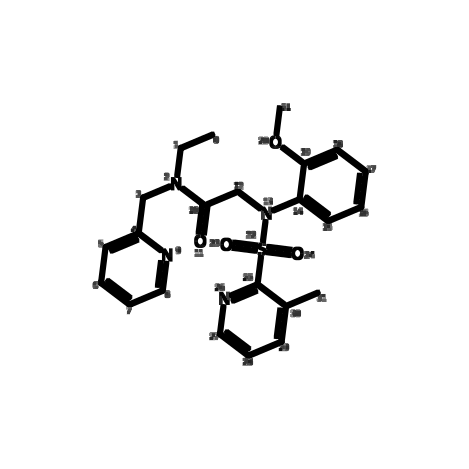 CCN(Cc1ccccn1)C(=O)CN(c1ccccc1OC)S(=O)(=O)c1ncccc1C